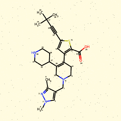 Cc1nn(C)cc1CN1CCC(c2cc(C#CC(C)(C)C)sc2C(=O)O)=C(C2CCNCC2)C1